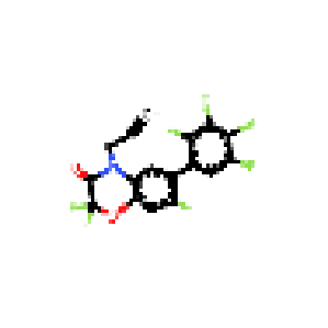 C#CCN1C(=O)C(F)(F)Oc2cc(F)c(-c3cc(F)c(F)c(F)c3F)cc21